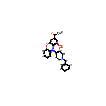 COC(=O)c1cc(O)c2c(c1)Oc1ccccc1N2C1CCN(Cc2ccccc2)CC1